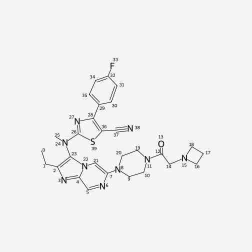 CCc1nc2cnc(N3CCN(C(=O)CN4CCC4)CC3)cn2c1N(C)c1nc(-c2ccc(F)cc2)c(C#N)s1